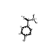 CN(C)C(=S)c1ccc(F)cc1